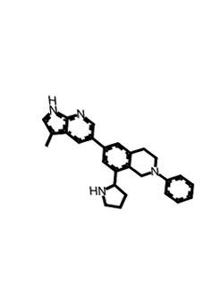 Cc1c[nH]c2ncc(-c3cc4c(c(C5CCCN5)c3)CN(c3ccccc3)CC4)cc12